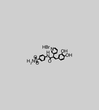 Br.NS(=O)(=O)c1ccc(NC(=O)C(=Cc2ccc(O)c(O)c2)c2cccnc2)cc1